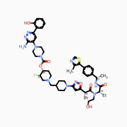 CC[C@@H](C(=O)N[C@@H](C)c1ccc(-c2scnc2C)cc1)N(CCO)C(=O)[C@@H](c1cc(N2CCC(CN3CC[C@@H](OC(=O)N4CCN(c5cc(-c6ccccc6O)nnc5N)CC4)[C@H](F)C3)CC2)no1)C(C)C